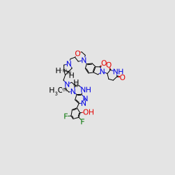 C[C@H]1CN2c3cc(-c4cc(F)cc(F)c4O)nnc3NC[C@H]2CN1CC1[C@H]2CN(CC3CN(c4ccc5c(c4)C(=O)N(C4CCC(=O)NC4=O)C5)CCO3)C[C@@H]12